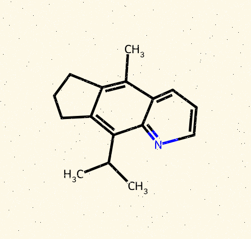 Cc1c2c(c(C(C)C)c3ncccc13)CCC2